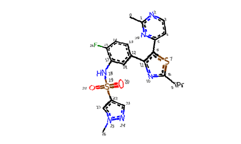 Cc1nccc(-c2sc(C(C)C)nc2-c2ccc(F)c(NS(=O)(=O)c3cnn(C)c3)c2)n1